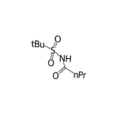 CCCC(=O)NS(=O)(=O)C(C)(C)C